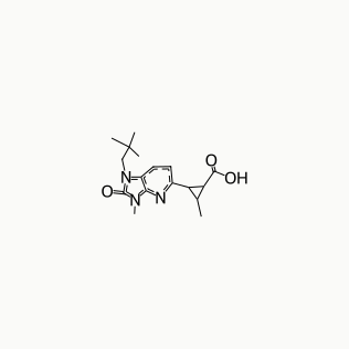 CC1C(C(=O)O)C1c1ccc2c(n1)n(C)c(=O)n2CC(C)(C)C